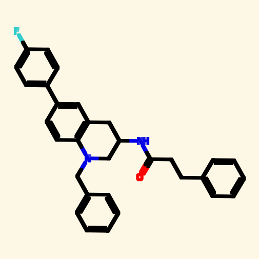 O=C(CCc1ccccc1)NC1Cc2cc(-c3ccc(F)cc3)ccc2N(Cc2ccccc2)C1